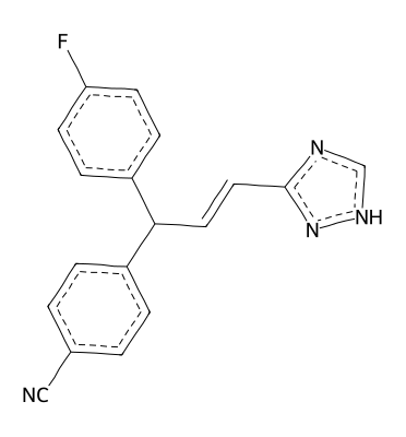 N#Cc1ccc(C(C=Cc2nc[nH]n2)c2ccc(F)cc2)cc1